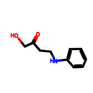 O=C(CO)CCNc1ccccc1